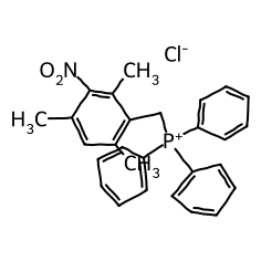 Cc1cc(C)c([N+](=O)[O-])c(C)c1C[P+](c1ccccc1)(c1ccccc1)c1ccccc1.[Cl-]